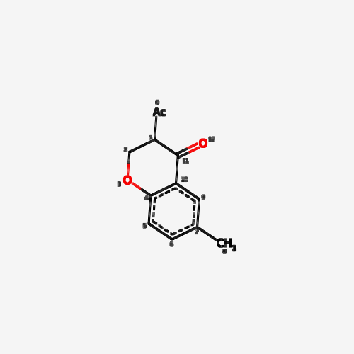 CC(=O)C1COc2ccc(C)cc2C1=O